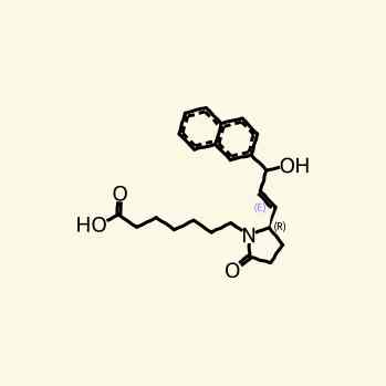 O=C(O)CCCCCCN1C(=O)CC[C@@H]1/C=C/C(O)c1ccc2ccccc2c1